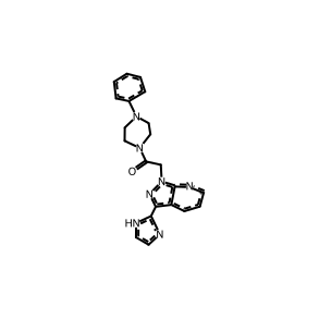 O=C(Cn1nc(-c2ncc[nH]2)c2cccnc21)N1CCN(c2ccccc2)CC1